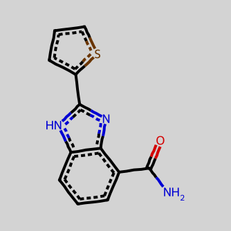 NC(=O)c1cccc2[nH]c(-c3cccs3)nc12